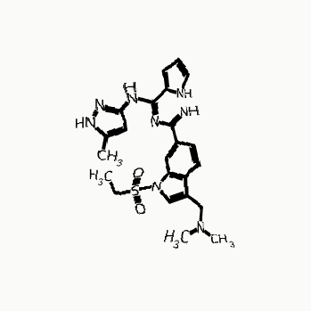 CCS(=O)(=O)n1cc(CN(C)C)c2ccc(C(=N)/N=C(/Nc3cc(C)[nH]n3)c3ccc[nH]3)cc21